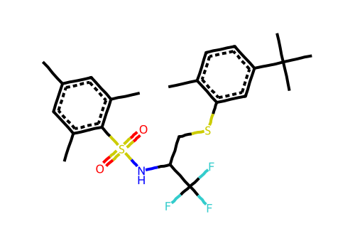 Cc1cc(C)c(S(=O)(=O)NC(CSc2cc(C(C)(C)C)ccc2C)C(F)(F)F)c(C)c1